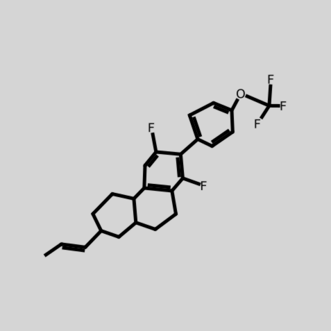 C/C=C/C1CCC2c3cc(F)c(-c4ccc(OC(F)(F)F)cc4)c(F)c3CCC2C1